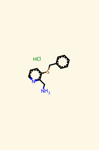 Cl.NCc1ncccc1SCc1ccccc1